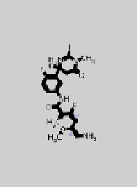 C=C(C(=O)Nc1ccc(F)c(C2(C)CC(=O)N(C)C(I)=N2)c1)/C(F)=C\C(=C/N)OC